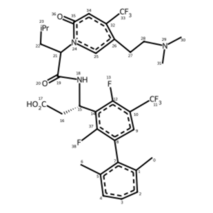 Cc1cccc(C)c1-c1cc(C(F)(F)F)c(F)c([C@H](CC(=O)O)NC(=O)C(CC(C)C)n2cc(CCN(C)C)c(C(F)(F)F)cc2=O)c1F